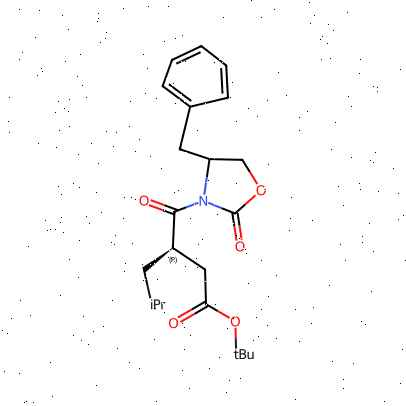 CC(C)C[C@H](CC(=O)OC(C)(C)C)C(=O)N1C(=O)OCC1Cc1ccccc1